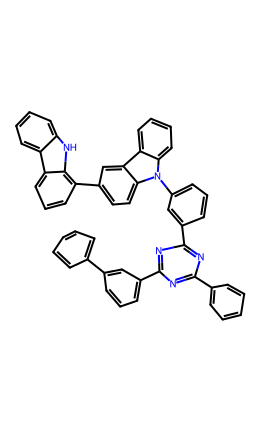 c1ccc(-c2cccc(-c3nc(-c4ccccc4)nc(-c4cccc(-n5c6ccccc6c6cc(-c7cccc8c7[nH]c7ccccc78)ccc65)c4)n3)c2)cc1